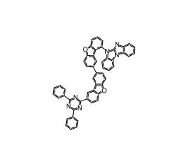 c1ccc(-c2nc(-c3ccccc3)nc(-c3ccc4oc5ccc(-c6ccc7oc8cccc(-n9c%10ccccc%10n%10c%11ccccc%11nc9%10)c8c7c6)cc5c4c3)n2)cc1